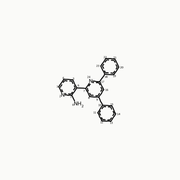 Nc1ncccc1-c1cc(-c2ccccc2)cc(-c2ccccc2)n1